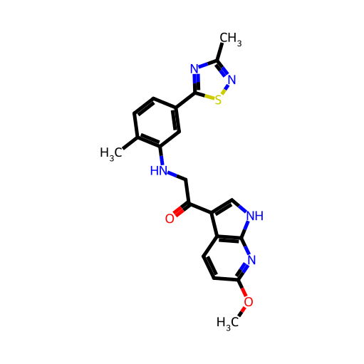 COc1ccc2c(C(=O)CNc3cc(-c4nc(C)ns4)ccc3C)c[nH]c2n1